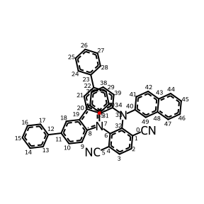 N#Cc1ccc(C#N)c(-n2c3ccc(-c4ccccc4)cc3c3cc(-c4ccccc4)ccc32)c1N(c1ccccc1)c1ccc2ccccc2c1